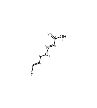 O=C(O)C=NOCC=CCl